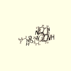 O=C(NCC1CC1)OC1CCCN(c2nccc3cnc4[nH]ccc4c23)C1